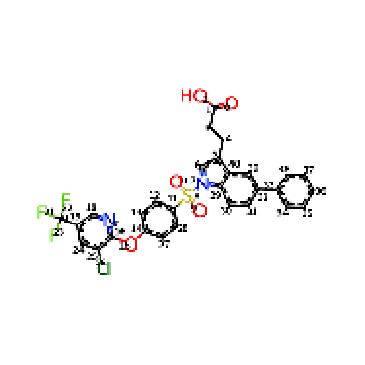 O=C(O)CCc1cn(S(=O)(=O)c2ccc(Oc3ncc(C(F)(F)F)cc3Cl)cc2)c2ccc(-c3ccccc3)cc12